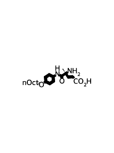 CCCCCCCCOc1ccc(NC(=O)[C@@](C)(N)C=CC(=O)O)cc1